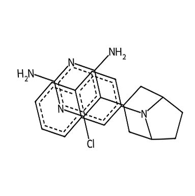 Nc1nc(N)c(C2CC3CCC(C2)N3c2ccc3ccccc3c2)c(Cl)n1